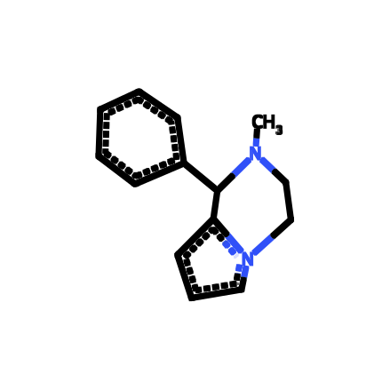 CN1CCn2cccc2C1c1ccccc1